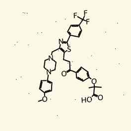 COc1ccc(N2CCN(Cc3nc(-c4ccc(C(F)(F)F)cc4)sc3CCC(=O)c3ccc(OC(C)(C)C(=O)O)cc3)CC2)cc1